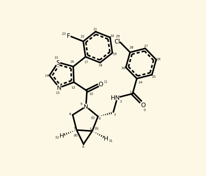 O=C(NC[C@@H]1[C@H]2C[C@H]2CN1C(=O)c1ncsc1-c1ccccc1F)c1cccc(Cl)c1